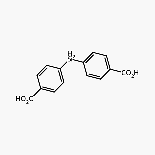 O=C(O)c1ccc([SiH2]c2ccc(C(=O)O)cc2)cc1